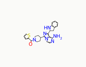 Nc1nccn2c(C3CCN(C(=O)c4cccs4)CC3)nc(C3Cc4ccccc4N3)c12